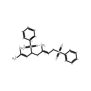 CC(C)=CC(C/C(C)=C/CS(=O)(=O)c1ccccc1)S(=O)(=O)c1ccccc1